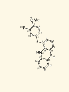 COc1ccc(Cc2[c]ccc3c2Nc2ccccc2S3)cc1F